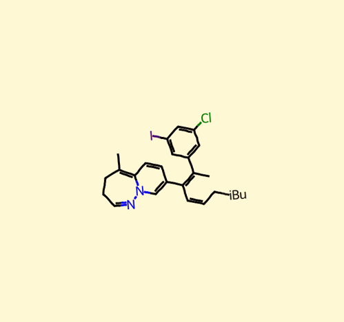 CCC(C)C/C=C\C(C1=CN2N=CCCC(C)=C2C=C1)=C(/C)c1cc(Cl)cc(I)c1